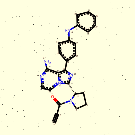 C#CC(=O)N1CCC[C@H]1c1nc(-c2ccc(Nc3ccccc3)cc2)c2c(N)nccn12